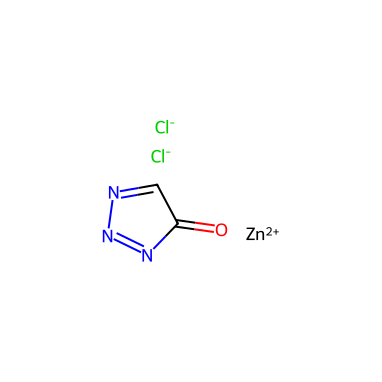 O=C1C=NN=N1.[Cl-].[Cl-].[Zn+2]